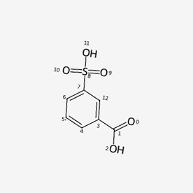 O=C(O)c1c[c]cc(S(=O)(=O)O)c1